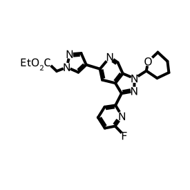 CCOC(=O)Cn1cc(-c2cc3c(-c4cccc(F)n4)nn(C4CCCCO4)c3cn2)cn1